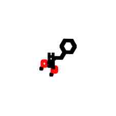 CO[SiH](CCC1CCCCC1)OC